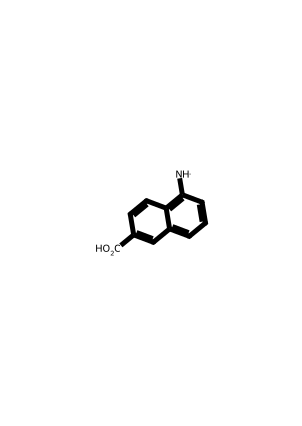 [NH]c1cccc2cc(C(=O)O)ccc12